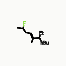 CCCCC(CC)/C(C)=C/CC(C)F